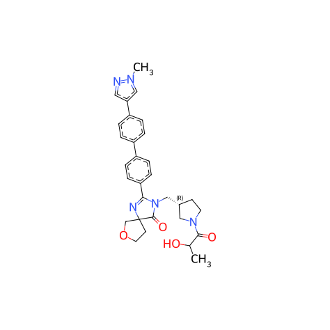 CC(O)C(=O)N1CC[C@@H](CN2C(=O)C3(CCOC3)N=C2c2ccc(-c3ccc(-c4cnn(C)c4)cc3)cc2)C1